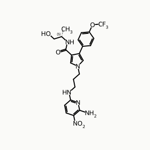 C[C@@H](CO)NC(=O)c1cn(CCCNc2ccc([N+](=O)[O-])c(N)n2)cc1-c1ccc(OC(F)(F)F)cc1